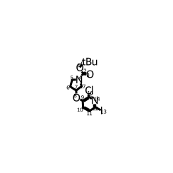 CC(C)(C)OC(=O)N1CCC(Oc2ccc(I)nc2Cl)C1